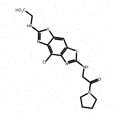 O=C(O)CNc1nc2c(Cl)c3nc(NCC(=O)N4CCCC4)sc3cc2s1